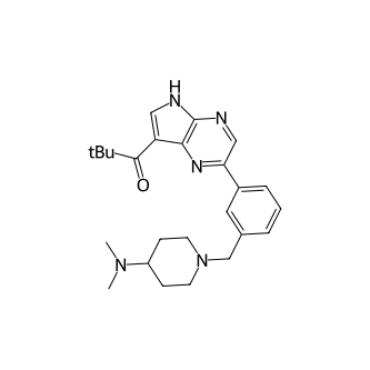 CN(C)C1CCN(Cc2cccc(-c3cnc4[nH]cc(C(=O)C(C)(C)C)c4n3)c2)CC1